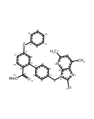 CCc1nc2c(C)cc(C)nc2n1Cc1ccc(-c2cc(Oc3ccccc3)ccc2C(=O)OC)cc1